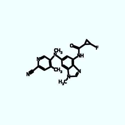 Cc1cc(C#N)ncc1N(C)c1cc(NC(=O)C2CC2F)c2ncn(C)c2c1